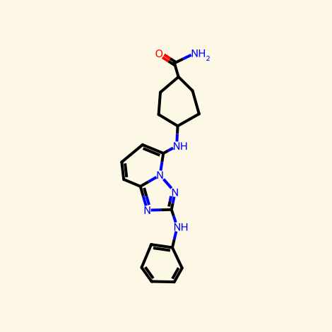 NC(=O)C1CCC(Nc2cccc3nc(Nc4ccccc4)nn23)CC1